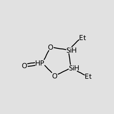 CC[SiH]1O[PH](=O)O[SiH]1CC